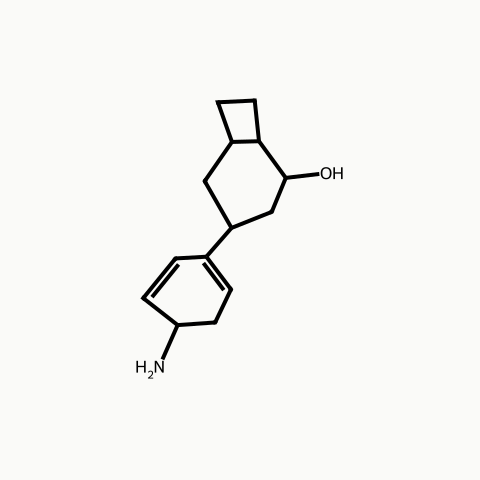 NC1C=CC(C2CC(O)C3CCC3C2)=CC1